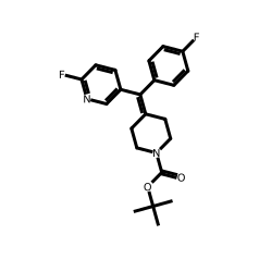 CC(C)(C)OC(=O)N1CCC(=C(c2ccc(F)cc2)c2ccc(F)nc2)CC1